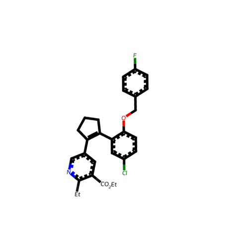 CCOC(=O)c1cc(C2=C(c3cc(Cl)ccc3OCc3ccc(F)cc3)CCC2)cnc1CC